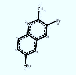 Cc1nc2ccc(C(C)(C)C)cc2cc1C(C)C